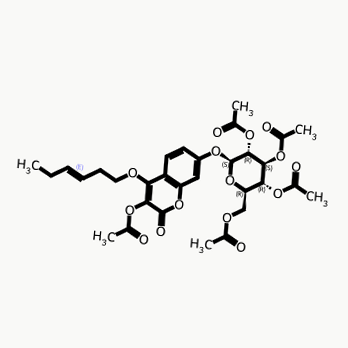 CC/C=C/CCOc1c(OC(C)=O)c(=O)oc2cc(O[C@@H]3O[C@H](COC(C)=O)[C@@H](OC(C)=O)[C@H](OC(C)=O)[C@H]3OC(C)=O)ccc12